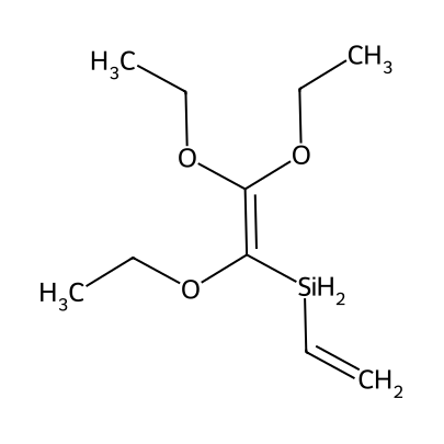 C=C[SiH2]C(OCC)=C(OCC)OCC